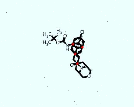 CC(C)(C)OC(=O)Nc1cc(Cl)ccc1C=CC(=O)N1C2COCC1CN(Cc1ccc(F)cc1)C2